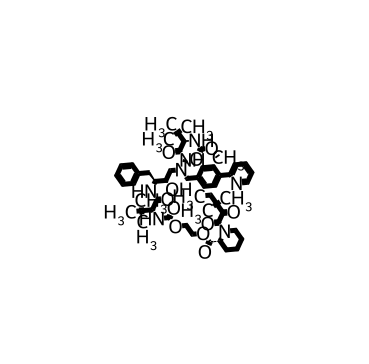 CCC(C)(C)C(=O)C(=O)N1CCCC[C@@H]1C(=O)OCCOC(=O)NC(C(=O)N[C@@H](Cc1ccccc1)[C@@H](O)CN(Cc1ccc(-c2ccccn2)cc1)NC(=O)[C@@H](NC(=O)OC)C(C)(C)C)C(C)(C)C